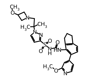 COc1cc(-c2ccc3c(c2NC(=O)NS(=O)(=O)c2ccn(C(C)(C)CN4CC(OC)C4)n2)CCC3)ccn1